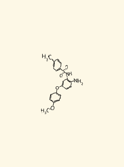 COc1ccc(Oc2ccc(N)c(NS(=O)(=O)c3ccc(C)cc3)c2)cc1